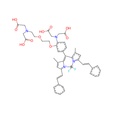 CC1=CC(/C=C/c2ccccc2)=[N+]2C1=C(c1ccc(N(CC(=O)O)CC(=O)O)c(OCCOCCN(CC(=O)O)CC(=O)O)c1)c1c(C)cc(/C=C/c3ccccc3)n1[B-]2(F)F